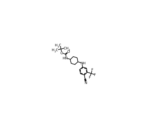 CC(C)(C)OC(=O)NC1CCC(Nc2ccc(C#N)c(C(F)(F)F)c2)CC1